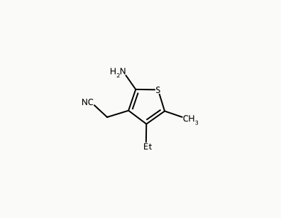 CCc1c(C)sc(N)c1CC#N